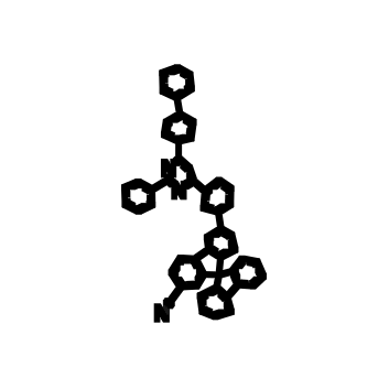 N#Cc1ccc2c(c1)C1(c3ccccc3-c3ccccc31)c1ccc(-c3cccc(-c4cc(-c5ccc(-c6ccccc6)cc5)nc(-c5ccccc5)n4)c3)cc1-2